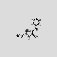 CC[C@H](C)[C@@H](C(=O)O)N(C)C(=O)CNc1ccccc1